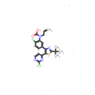 C=CCN(C(=O)O)c1cc(-c2nc(C(C)(C)C)sc2-c2ccnc(Cl)n2)ccc1F